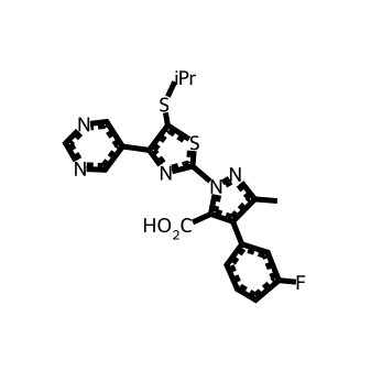 Cc1nn(-c2nc(-c3cncnc3)c(SC(C)C)s2)c(C(=O)O)c1-c1cccc(F)c1